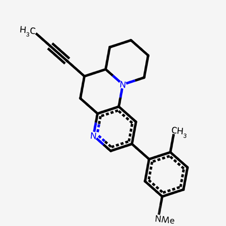 CC#CC1Cc2ncc(-c3cc(NC)ccc3C)cc2N2CCCCC12